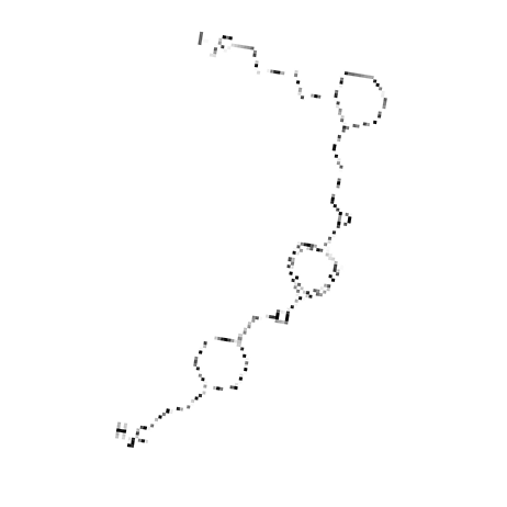 CCCCCC1CCCCC1CCCOc1ccc(OCC2CCC(CCC)CC2)cc1